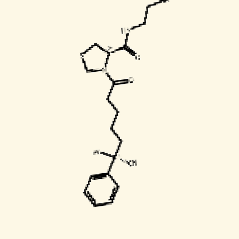 CC(C)CCNC(=O)[C@@H]1CSCN1C(=O)CCCC[C@@](C#N)(c1ccccc1)C(C)C